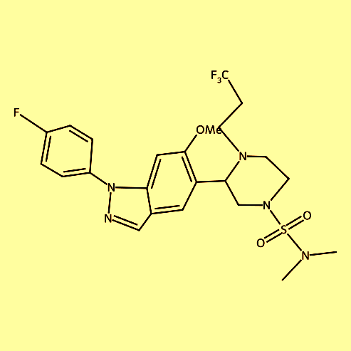 COc1cc2c(cnn2-c2ccc(F)cc2)cc1C1CN(S(=O)(=O)N(C)C)CCN1CCC(F)(F)F